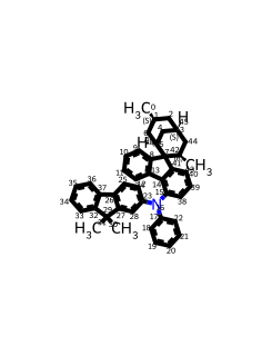 C[C@H]1C[C@@H]2C[C@H](C1)C1(c3ccccc3-c3c(N(c4ccccc4)c4ccc5c(c4)C(C)(C)c4ccccc4-5)cccc31)[C@H](C)C2